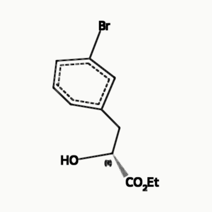 CCOC(=O)[C@H](O)Cc1cccc(Br)c1